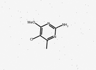 COc1nc(N)nc(C)c1Cl